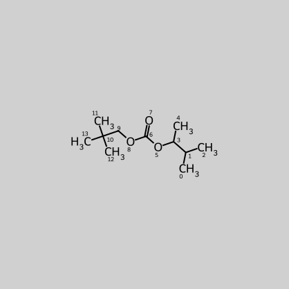 CC(C)C(C)OC(=O)OCC(C)(C)C